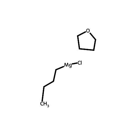 C1CCOC1.CCC[CH2][Mg][Cl]